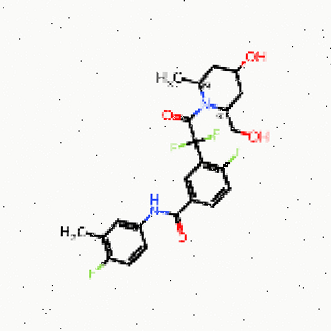 Cc1cc(NC(=O)c2ccc(F)c(C(F)(F)C(=O)N3[C@H](CO)CC(O)C[C@@H]3C)c2)ccc1F